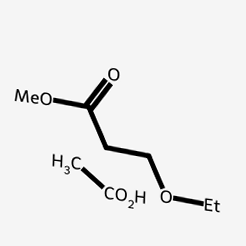 CC(=O)O.CCOCCC(=O)OC